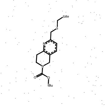 CSCSCc1ccc2c(n1)CCN(C(=O)OC(C)(C)C)C2